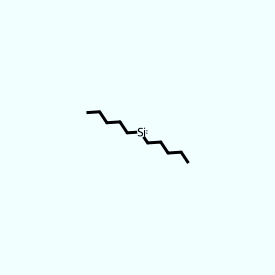 CCCCC[Si]CCCCC